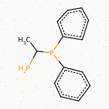 CC(P)P(c1ccccc1)c1ccccc1